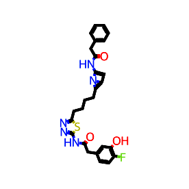 O=C(Cc1ccc(F)c(O)c1)Nc1nnc(CCCCc2c3cc(NC(=O)Cc4ccccc4)n2-3)s1